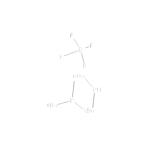 CCCCPC.CP(C(C)(C)C)C(C)(C)C.F[B-](F)(F)F